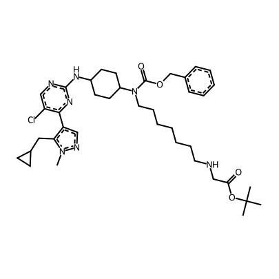 Cn1ncc(-c2nc(NC3CCC(N(CCCCCCCNCC(=O)OC(C)(C)C)C(=O)OCc4ccccc4)CC3)ncc2Cl)c1CC1CC1